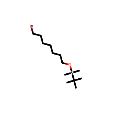 CC(C)(C)[Si](C)(C)OCCCCCCCBr